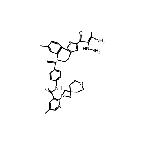 C/C(N)=C(/NN)C(=O)c1cc2c(s1)-c1ccc(F)cc1N(C(=O)c1ccc(NC(=O)c3cc(C)cnc3N3CC4(CCOCC4)C3)cc1)CC2